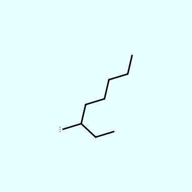 [C]C(CC)CCCCC